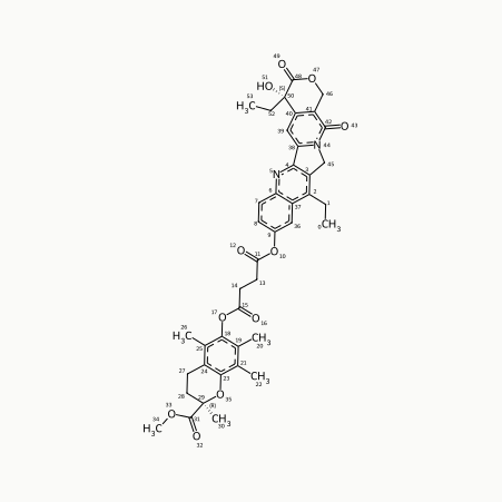 CCc1c2c(nc3ccc(OC(=O)CCC(=O)Oc4c(C)c(C)c5c(c4C)CC[C@](C)(C(=O)OC)O5)cc13)-c1cc3c(c(=O)n1C2)COC(=O)[C@]3(O)CC